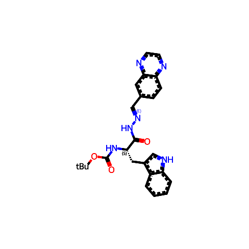 CC(C)(C)OC(=O)N[C@@H](Cc1c[nH]c2ccccc12)C(=O)N/N=C/c1ccc2nccnc2c1